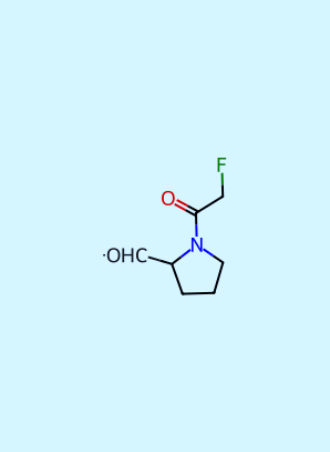 O=[C]C1CCCN1C(=O)CF